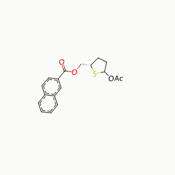 CC(=O)OC1CC[C@@H](COC(=O)c2ccc3ccccc3c2)S1